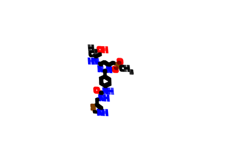 C[C@@H](CO)Nc1cc(CS(C)(=O)=O)nc(-c2ccc(NC(=O)NCC3=CNCS3)cc2)n1